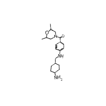 CC1CN(C(=O)c2ccc(NCC3CCC(N)CC3)cc2)CC(C)O1